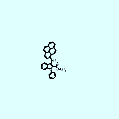 COC(=O)c1c(Nc2ccc3ccc4cccc5ccc2c3c45)c2ccccc2n1-c1ccccc1